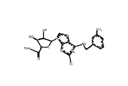 CNC(=O)C1SC(n2cnc3c(NCc4cccc(C)c4)nc(Cl)nc32)C(O)C1O